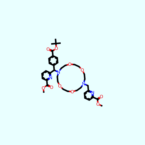 COC(=O)c1cccc(CN2CCOCCOCCN(C(c3ccc(C(=O)OC(C)(C)C)cc3)c3cccc(C(=O)OC)n3)CCOCCOCC2)n1